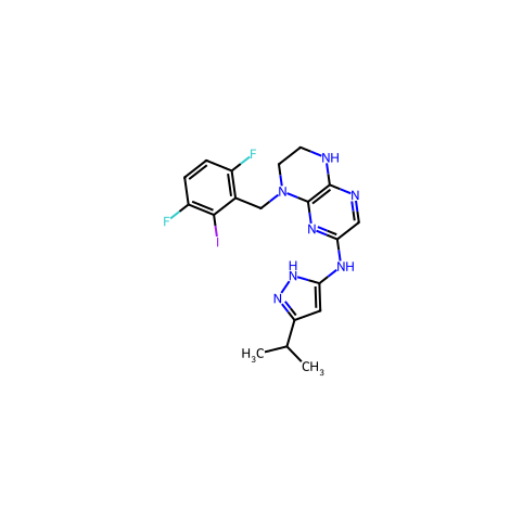 CC(C)c1cc(Nc2cnc3c(n2)N(Cc2c(F)ccc(F)c2I)CCN3)[nH]n1